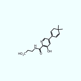 CC1(C)C=CC(c2cnc(C(=O)NCCC(=O)O)c(O)c2)=CC1